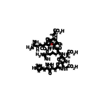 CC(C)C[C@H](NC(=O)[C@H](CCCNC(=N)N)NC(=O)[C@H](CCC(=O)O)NC(=O)[C@H](CC(=O)O)NC(=O)CNC(=O)[C@@H](N)Cc1c[nH]cn1)C(=O)N[C@@H](CCC(=O)O)C(=O)N[C@@H](CCCNC(=N)N)C(=O)O